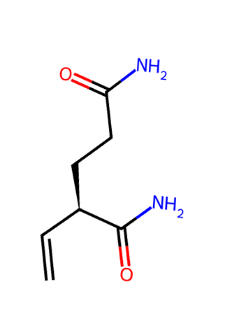 C=C[C@@H](CCC(N)=O)C(N)=O